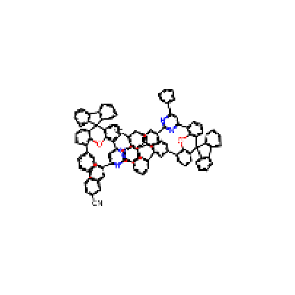 N#Cc1ccc(-c2ccc(-c3cccc4c3Oc3c(-c5cc(-c6ccccc6)nc(-c6cccc(-c7cc(-c8cccc9c8Oc8c(-c%10cc(-c%11ccccc%11)nc(-c%11ccc(-c%12ccccc%12)cc%11)n%10)cccc8C98c9ccccc9-c9ccccc98)ccc7-c7ccc(C#N)cc7)c6)n5)cccc3C43c4ccccc4-c4ccccc43)cc2)cc1